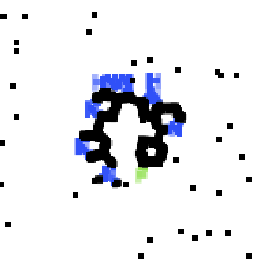 CN(C)Cc1cncc(-c2cc3c(-c4cc5c(-c6ccc(F)cc6)nccc5[nH]4)n[nH]c3cn2)c1